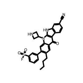 CCCCc1cc2c(=O)c3c4ccc(C#N)cc4[nH]c3n(C3CNC3)c2cc1-c1cccc(S(=O)(=O)F)c1